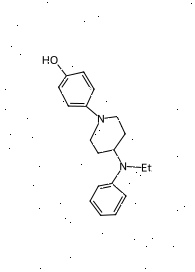 CCN(c1ccccc1)C1CCN(c2ccc(O)cc2)CC1